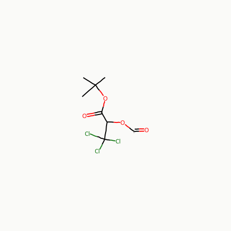 CC(C)(C)OC(=O)C(O[C]=O)C(Cl)(Cl)Cl